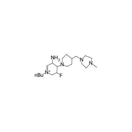 CCCC[N+]1=CC(N)C(N2CCC(CN3CCN(C)CC3)CC2)C(F)C1